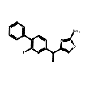 CNc1nc(C(C)c2ccc(-c3ccccc3)c(F)c2)co1